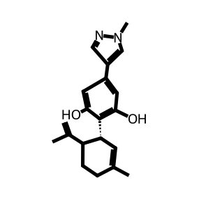 C=C(C)C1CCC(C)=C[C@H]1c1c(O)cc(-c2cnn(C)c2)cc1O